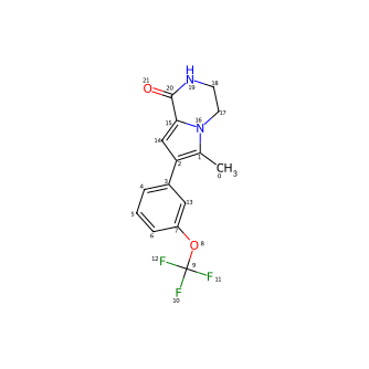 Cc1c(-c2cccc(OC(F)(F)F)c2)cc2n1CCNC2=O